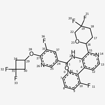 O=C(Nc1c(-c2ncccc2F)ccnc1C1CCC(F)(F)CO1)c1cnc(OC2CC(F)(F)C2)c(F)c1